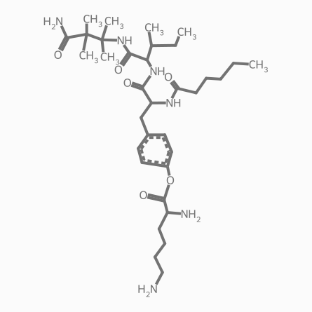 CCCCCC(=O)NC(Cc1ccc(OC(=O)C(N)CCCCN)cc1)C(=O)NC(C(=O)NC(C)(C)C(C)(C)C(N)=O)C(C)CC